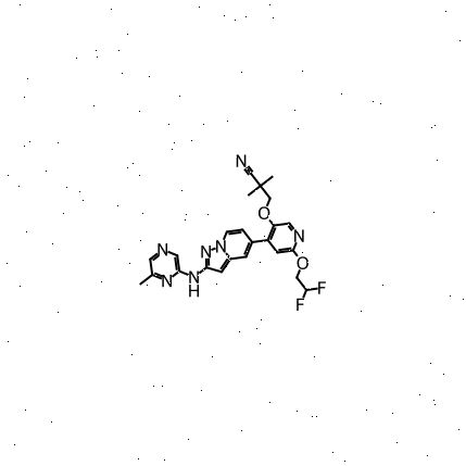 Cc1cncc(Nc2cc3cc(-c4cc(OCC(F)F)ncc4OCC(C)(C)C#N)ccn3n2)n1